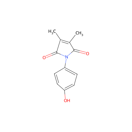 CC1=C(C)C(=O)N(c2ccc(O)cc2)C1=O